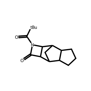 CC(C)(C)C(=O)N1C(=O)C2C3CC(C4CCCC43)C21